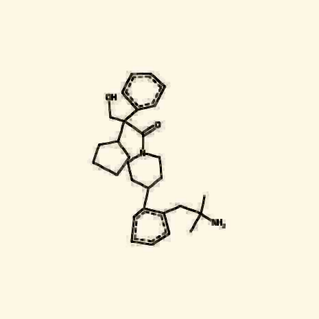 CC(C)(N)Cc1ccccc1C1CCN(C(=O)C(CO)(c2ccccc2)C2CCCC2)CC1